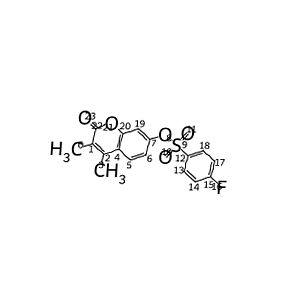 Cc1c(C)c2ccc(OS(=O)(=O)c3ccc(F)cc3)cc2oc1=O